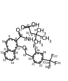 CC(C)(C)[C@H](NC(=O)c1ccc2ccccc2c1OCc1ccc(C(F)(F)F)cc1F)C(=O)O